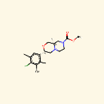 Cc1cc([C@H]2CN3CCN(C(=O)OC(C)(C)C)C[C@@H]3CO2)c(C)c(C#N)c1F